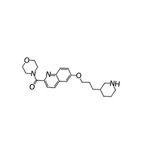 O=C(c1ccc2cc(OCCCC3CCCNC3)ccc2n1)N1CCOCC1